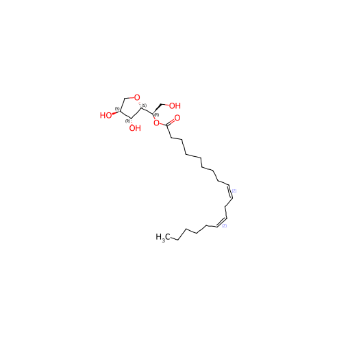 CCCCC/C=C\C/C=C\CCCCCCCC(=O)O[C@H](CO)[C@H]1OC[C@H](O)[C@H]1O